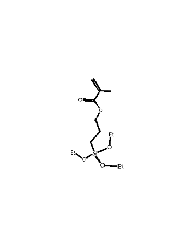 C=C(C)C(=O)OCCC[Si](OCC)(OCC)OCC